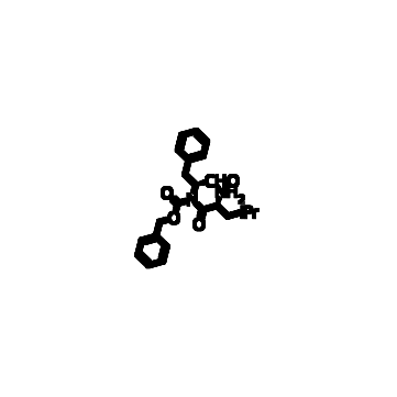 CC(C)C[C@H](N)C(=O)N(C(=O)OCc1ccccc1)[C@H](C=O)Cc1ccccc1